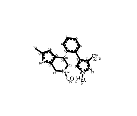 CCn1cc(-c2ccccc2[C@@H]2CN(C(=O)O)Cc3sc(C)cc32)c(C(F)(F)F)n1